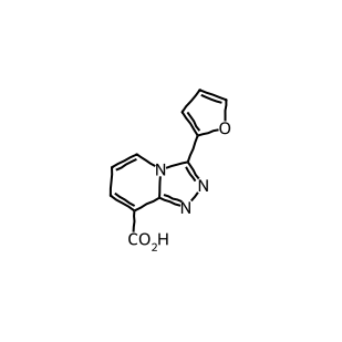 O=C(O)c1cccn2c(-c3ccco3)nnc12